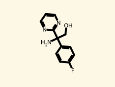 NC(CO)(c1ccc(F)cc1)c1ncccn1